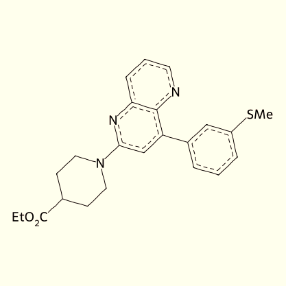 CCOC(=O)C1CCN(c2cc(-c3cccc(SC)c3)c3ncccc3n2)CC1